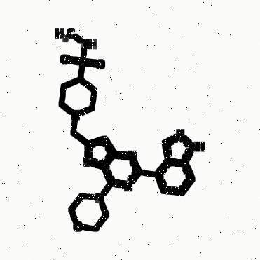 CNS(=O)(=O)C1CCN(Cc2cc3nc(-c4cccc5[nH]ncc45)nc(N4CCOCC4)c3s2)CC1